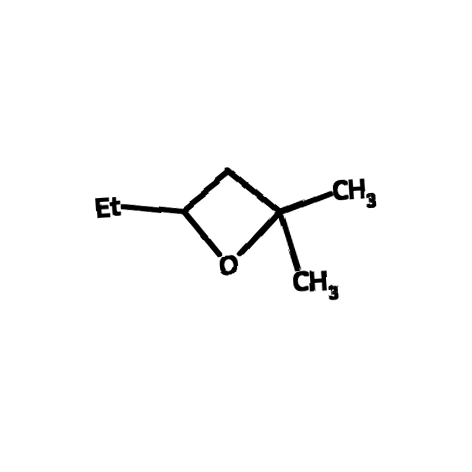 CCC1CC(C)(C)O1